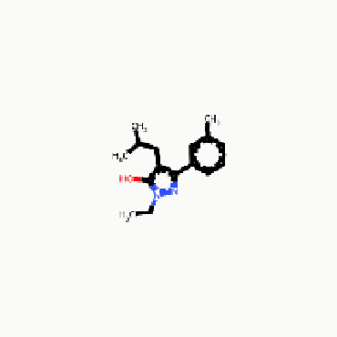 CCn1nc(-c2cccc(C)c2)c(CC(C)C)c1O